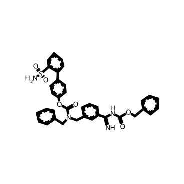 N=C(NC(=O)OCc1ccccc1)c1cccc(CN(Cc2ccccc2)C(=O)Oc2ccc(-c3ccccc3S(N)(=O)=O)cc2)c1